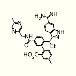 CCC(c1ccc(C(=O)NCc2cnc(C)cn2)cc1-c1ccc(C)cc1C(=O)O)c1n[nH]c2cc(C(=N)N)ccc12